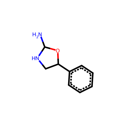 NC1NCC(c2ccccc2)O1